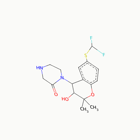 CC1(C)Oc2ccc(SC(F)F)cc2C(N2CCNCC2=O)C1O